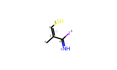 C/C(=C/S)C(=N)I